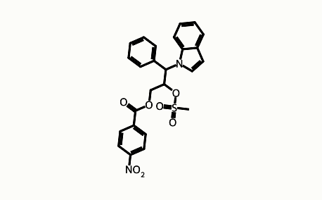 CS(=O)(=O)OC(COC(=O)c1ccc([N+](=O)[O-])cc1)C(c1ccccc1)n1ccc2ccccc21